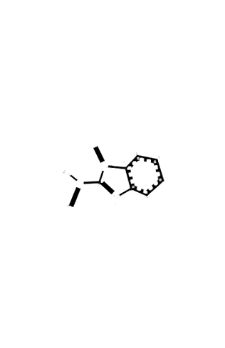 C=S(N=O)C1=Nc2ccccc2S1=C